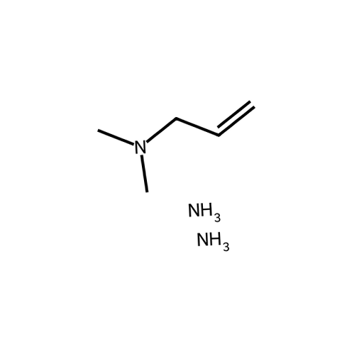 C=CCN(C)C.N.N